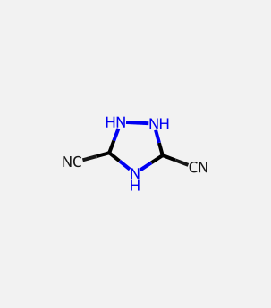 N#CC1NNC(C#N)N1